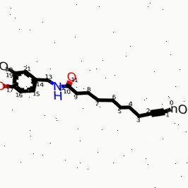 CCCCCCCCC#CCCCCCCCC(=O)NCc1ccc(O)c(OC)c1